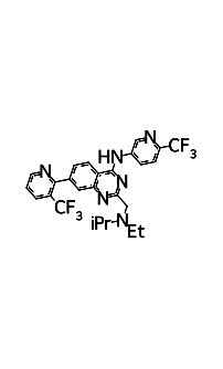 CCN(Cc1nc(Nc2ccc(C(F)(F)F)nc2)c2ccc(-c3ncccc3C(F)(F)F)cc2n1)C(C)C